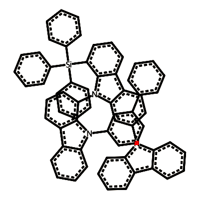 c1ccc(-c2cccc(-n3c4ccccc4c4cccc(-n5c6cc(-n7c8ccccc8c8ccccc87)ccc6c6cccc([Si](c7ccccc7)(c7ccccc7)c7ccccc7)c65)c43)c2)cc1